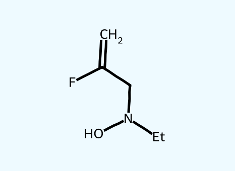 C=C(F)CN(O)CC